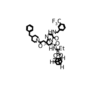 CC[C@H](NC(=O)[C@@H]1C[C@@](C)(CC(=O)N2CCC(Cc3ccccc3)CC2)c2ncc(NCc3cccc(C(F)(F)F)c3)c(=O)n21)B1O[C@@H]2C[C@@H]3C[C@@H](C3(C)C)[C@]2(C)O1